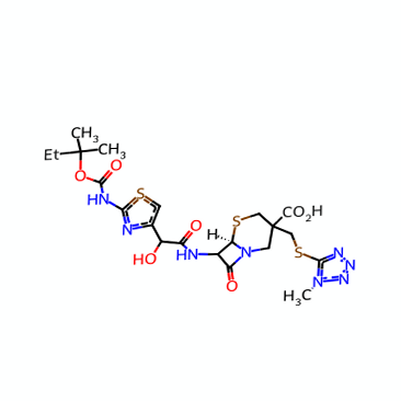 CCC(C)(C)OC(=O)Nc1nc(C(O)C(=O)NC2C(=O)N3CC(CSc4nnnn4C)(C(=O)O)CS[C@H]23)cs1